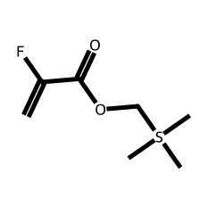 C=C(F)C(=O)OCS(C)(C)C